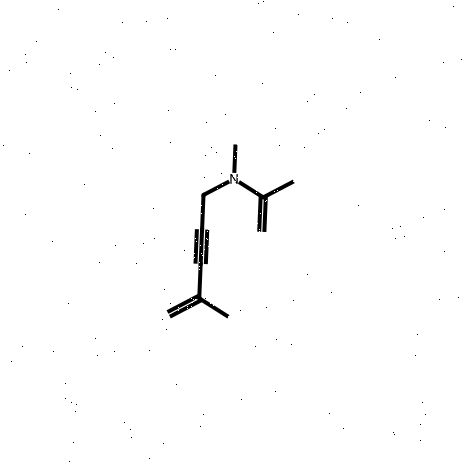 C=C(C)C#CCN(C)C(=C)C